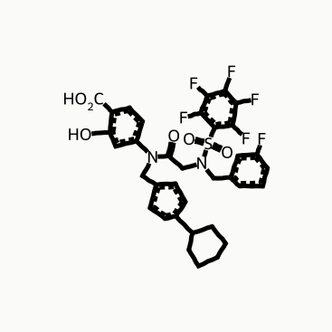 O=C(O)c1ccc(N(Cc2ccc(C3CCCCC3)cc2)C(=O)CN(Cc2cccc(F)c2)S(=O)(=O)c2c(F)c(F)c(F)c(F)c2F)cc1O